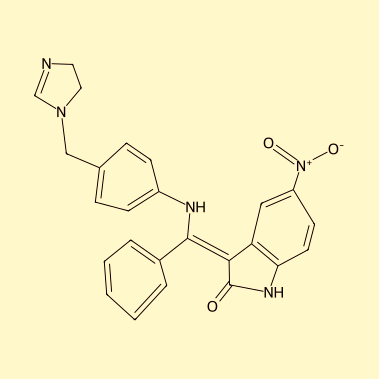 O=C1Nc2ccc([N+](=O)[O-])cc2C1=C(Nc1ccc(CN2C=NCC2)cc1)c1ccccc1